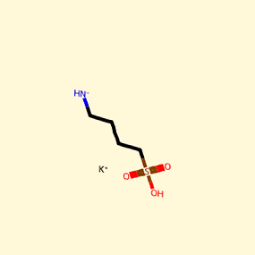 [K+].[NH-]CCCCS(=O)(=O)O